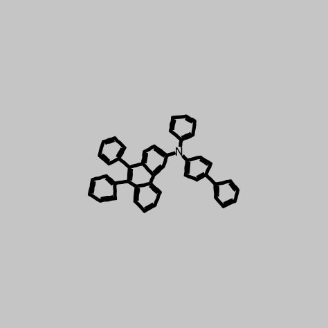 c1ccc(-c2ccc(N(c3ccccc3)c3ccc4c(-c5ccccc5)c(-c5ccccc5)c5ccccc5c4c3)cc2)cc1